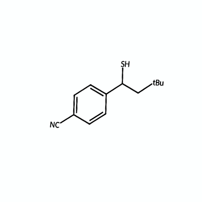 CC(C)(C)CC(S)c1ccc(C#N)cc1